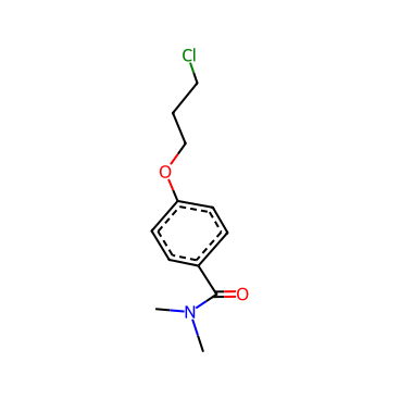 CN(C)C(=O)c1ccc(OCCCCl)cc1